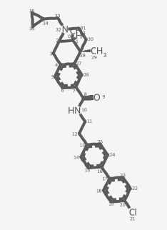 C[C@H]1C2Cc3ccc(C(=O)NCCc4ccc(-c5ccc(Cl)cc5)cc4)cc3[C@@]1(C)CCN2CC1CC1